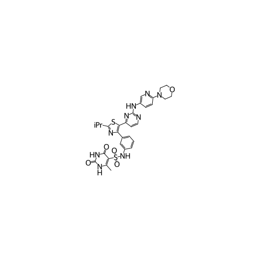 Cc1[nH]c(=O)[nH]c(=O)c1S(=O)(=O)Nc1cccc(-c2nc(C(C)C)sc2-c2ccnc(Nc3ccc(N4CCOCC4)nc3)n2)c1